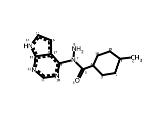 CC1CCC(C(=O)N(N)c2ncnc3[nH]ccc23)CC1